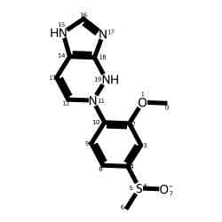 COc1cc([S+](C)[O-])ccc1N1C=Cc2[nH]cnc2N1